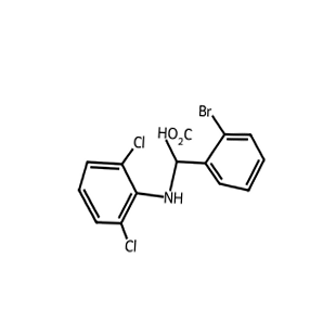 O=C(O)C(Nc1c(Cl)cccc1Cl)c1ccccc1Br